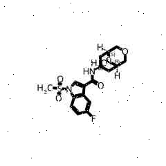 CN1[C@@H]2COC[C@H]1C[C@@H](NC(=O)c1cn(S(C)(=O)=O)c3ccc(F)cc13)C2